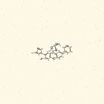 Cn1cc(-c2cc3c(cc2F)Oc2ccc(-c4cccnc4)cc2[C@@]32COC(N)=N2)cn1